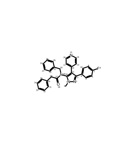 Cn1nc(-c2ccc(F)cc2)c(-c2ccncc2)c1N(Cc1ccccc1)C(=O)Cc1ccccc1